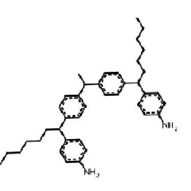 CCCCCCC(c1ccc(N)cc1)c1ccc(C(C)c2ccc(C(CCCCCC)c3ccc(N)cc3)cc2)cc1